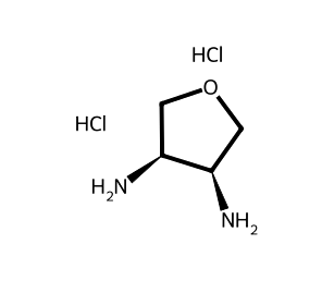 Cl.Cl.N[C@@H]1COC[C@@H]1N